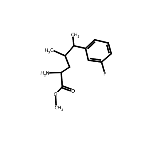 COC(=O)C(N)CC(C)C(C)c1cccc(F)c1